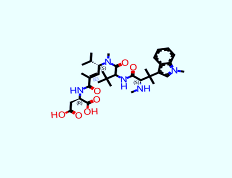 CN[C@H](C(=O)NC(C(=O)N(C)[C@H](/C=C(\C)C(=O)N[C@H](CC(=O)O)C(=O)O)C(C)C)C(C)(C)C)C(C)(C)c1cn(C)c2ccccc12